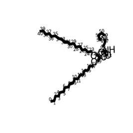 CCCCCCCCC=CCCCCCCCCOCC(COCCCCCCCCC=CCCCCCCCC)OS(=O)(=O)NCCN1CCCC1